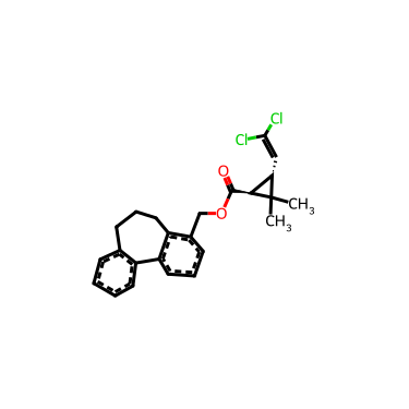 CC1(C)[C@@H](C=C(Cl)Cl)[C@@H]1C(=O)OCc1cccc2c1CCCc1ccccc1-2